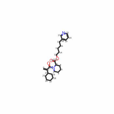 C=C(C(=O)N1CCCCC1C(=O)OCCCCCc1cccnc1)C1CCCCC1